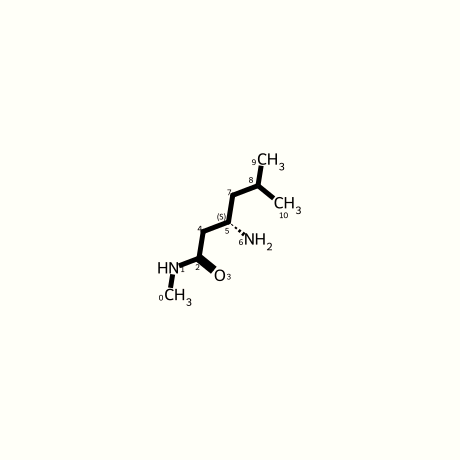 CNC(=O)C[C@@H](N)CC(C)C